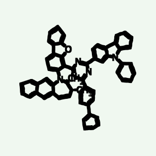 C=C1[C@@H](C)C=Cc2cc3ccccc3cc2N1c1ccc2c(oc3ccccc32)c1-c1nc(-c2ccc(-c3ccccc3)cc2)nc(-c2ccc3c4ccccc4n(-c4ccccc4)c3c2)n1